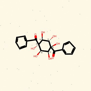 O=C(c1ccccc1)[C@]1(O)[C@@H](O)[C@@H](O)[C@@](O)(C(=O)c2ccccc2)[C@@H](O)[C@@H]1O